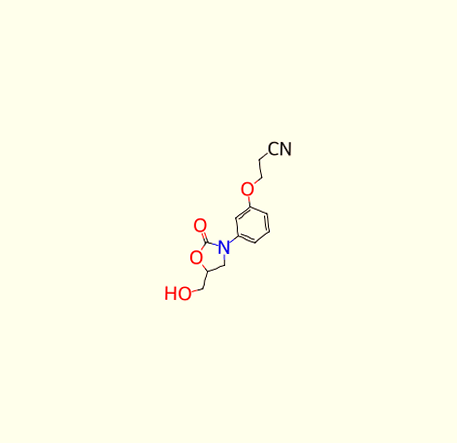 N#CCCOc1cccc(N2CC(CO)OC2=O)c1